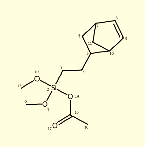 CO[Si](CCC1CC2C=CC1C2)(OC)OC(C)=O